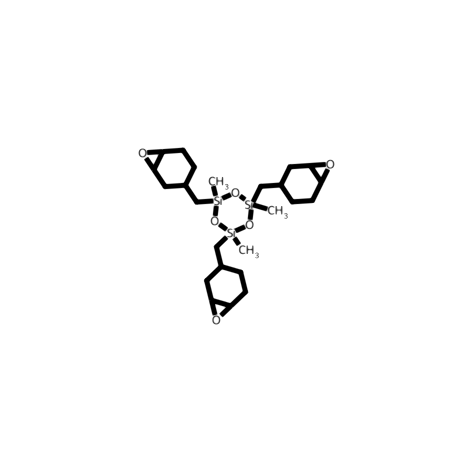 C[Si]1(CC2CCC3OC3C2)O[Si](C)(CC2CCC3OC3C2)O[Si](C)(CC2CCC3OC3C2)O1